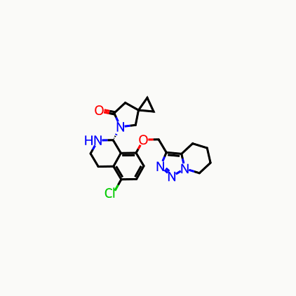 O=C1CC2(CC2)CN1[C@H]1NCCc2c(Cl)ccc(OCc3nnn4c3CCCC4)c21